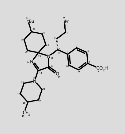 CC(C)CC[C@H](c1ccc(C(=O)O)cc1)N1C(=O)C(N2CCC(C(F)(F)F)CC2)=NC12CCC(C(C)(C)C)CC2